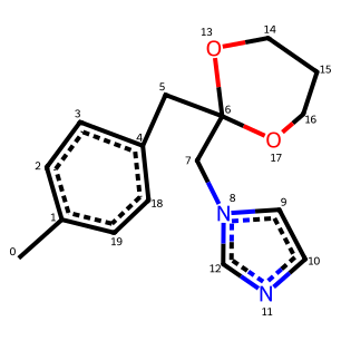 Cc1ccc(CC2(Cn3ccnc3)OCCCO2)cc1